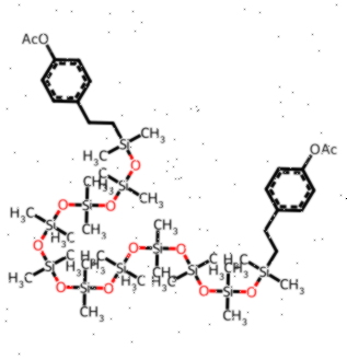 CC(=O)Oc1ccc(CC[Si](C)(C)O[Si](C)(C)O[Si](C)(C)O[Si](C)(C)O[Si](C)(C)O[Si](C)(C)O[Si](C)(C)O[Si](C)(C)O[Si](C)(C)O[Si](C)(C)O[Si](C)(C)CCc2ccc(OC(C)=O)cc2)cc1